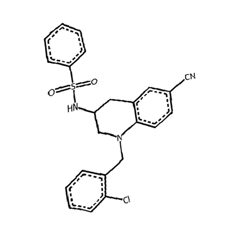 N#Cc1ccc2c(c1)CC(NS(=O)(=O)c1ccccc1)CN2Cc1ccccc1Cl